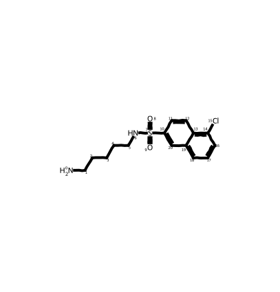 NCCCCCNS(=O)(=O)c1ccc2c(Cl)cccc2c1